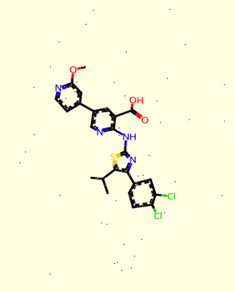 COc1cc(-c2cnc(Nc3nc(-c4ccc(Cl)c(Cl)c4)c(C(C)C)s3)c(C(=O)O)c2)ccn1